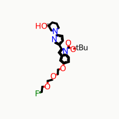 CC(C)(C)OC(=O)n1c(-c2ccc(N3CCC[C@@H](O)C3)nc2)cc2cc(OCCOCCOCCF)ccc21